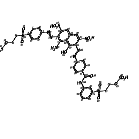 Nc1c(/N=N/c2ccc(S(=O)(=O)CCOS(=O)(=O)O)cc2)c(S(=O)(=O)O)cc2cc(S(=O)(=O)O)c(/N=N/c3ccc(C(=O)Nc4cccc(S(=O)(=O)CCOS(=O)(=O)O)c4)cc3)c(O)c12